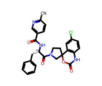 N#Cc1ccc(C(=O)N[C@@H](Cc2ccccc2)C(=O)N2CCC3(C2)OC(=O)Nc2ccc(Cl)cc23)cn1